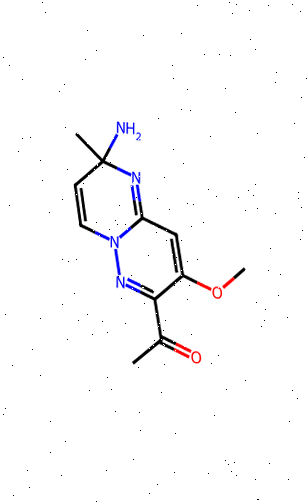 COC1=CC2=NC(C)(N)C=CN2N=C1C(C)=O